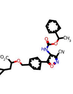 CC(OC(=O)Nc1c(C#N)noc1-c1ccc(COC(CC2CC2)C(=O)O)cc1)c1ccccc1